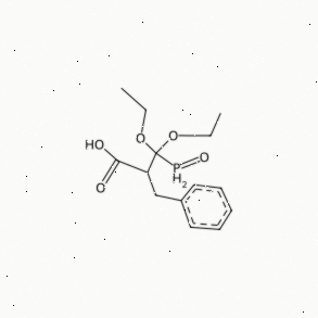 CCOC(OCC)([PH2]=O)C(Cc1ccccc1)C(=O)O